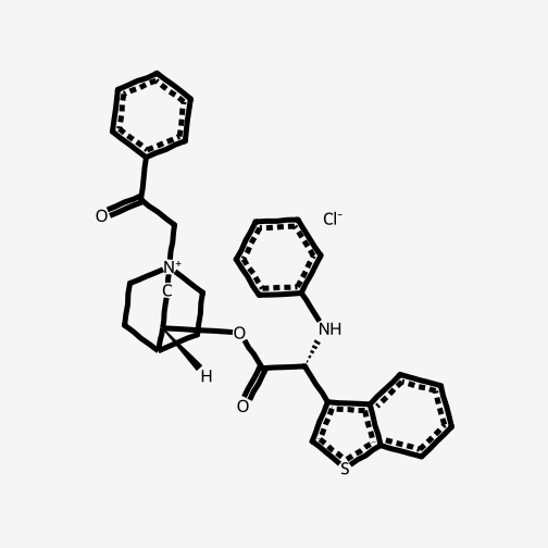 O=C(C[N+]12CCC(CC1)[C@@H](OC(=O)[C@H](Nc1ccccc1)c1csc3ccccc13)C2)c1ccccc1.[Cl-]